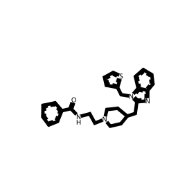 O=C(NCCN1CCC(Cc2nc3ccccc3n2Cc2cccs2)CC1)c1ccccc1